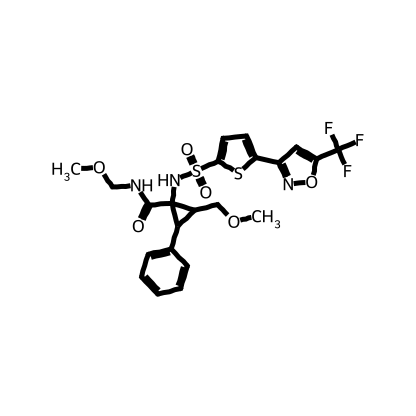 COCNC(=O)C1(NS(=O)(=O)c2ccc(-c3cc(C(F)(F)F)on3)s2)C(COC)C1c1ccccc1